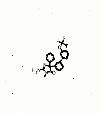 CN1C(=O)C(c2ccccc2)(c2cccc(-c3cccc(OC(F)(F)F)c3)c2)N=C1N